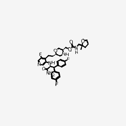 CC1(CNC(=O)OC[C@@H]2CO[C@H](CCc3c(F)cncc3N[C@H](C(N)=O)C(c3ccc(F)cc3)c3ccc(F)cc3)CN2)CCCO1